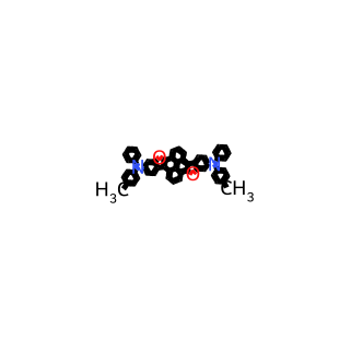 Cc1ccc(N(c2ccccc2)c2ccc3c(c2)oc2c4cccc5c6c7ccc(N(c8ccccc8)c8ccc(C)cc8)cc7oc6c6cccc(c32)c6c45)cc1